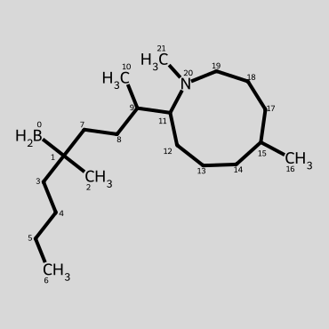 BC(C)(CCCC)CCC(C)C1CCCC(C)CCCN1C